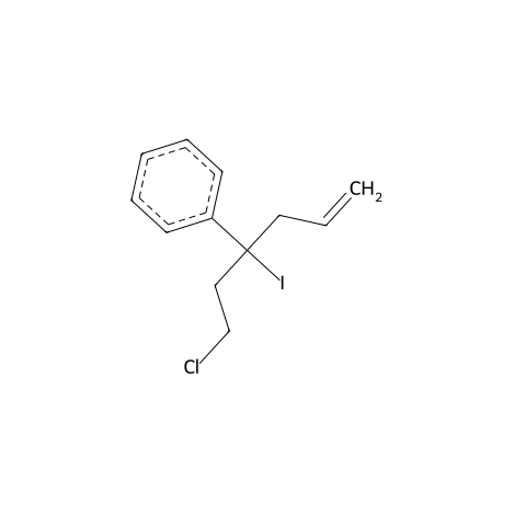 C=CCC(I)(CCCl)c1ccccc1